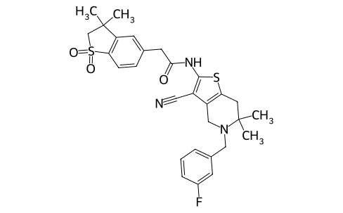 CC1(C)CS(=O)(=O)c2ccc(CC(=O)Nc3sc4c(c3C#N)CN(Cc3cccc(F)c3)C(C)(C)C4)cc21